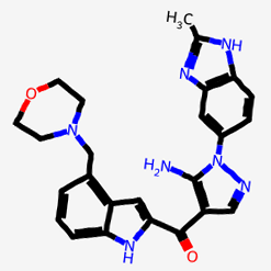 Cc1nc2cc(-n3ncc(C(=O)c4cc5c(CN6CCOCC6)cccc5[nH]4)c3N)ccc2[nH]1